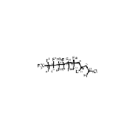 FC(F)(F)C(F)(F)C(F)(F)C(F)(F)C(F)(F)C(F)(F)C(F)(F)CC(Cl)CC(Cl)I